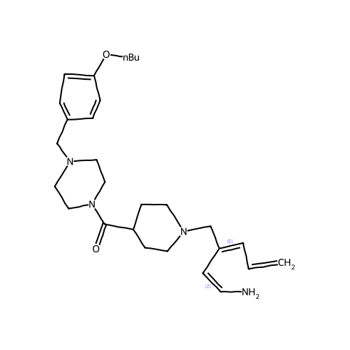 C=C/C=C(\C=C/N)CN1CCC(C(=O)N2CCN(Cc3ccc(OCCCC)cc3)CC2)CC1